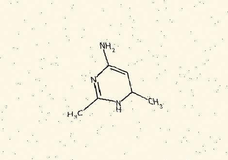 CC1=NC(N)=CC(C)N1